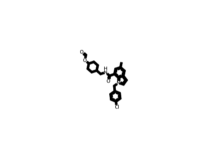 Cc1cc(C(=O)NCC2CCC(OC=O)CC2)c2c(ccn2Cc2ccc(Cl)cc2)c1